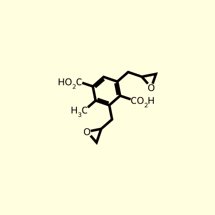 Cc1c(C(=O)O)cc(CC2CO2)c(C(=O)O)c1CC1CO1